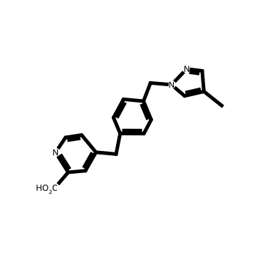 Cc1cnn(Cc2ccc(Cc3ccnc(C(=O)O)c3)cc2)c1